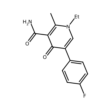 CCn1cc(-c2ccc(F)cc2)c(=O)c(C(N)=O)c1C